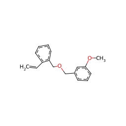 C=Cc1ccccc1COCc1cccc(OC)c1